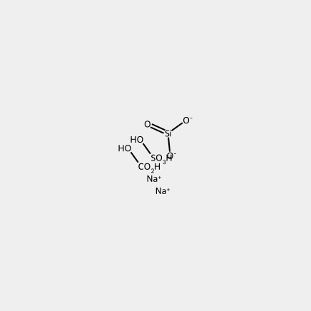 O=C(O)O.O=S(=O)(O)O.O=[Si]([O-])[O-].[Na+].[Na+]